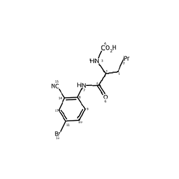 CC(C)CC(NC(=O)O)C(=O)Nc1ccc(Br)cc1C#N